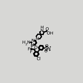 CN(C)S(=O)(=O)c1cccc(-c2cc(Cl)ccc2[C@@H](Oc2cc(N3CCC4(CC3)CNC(C(=O)O)C4)nc(N)n2)C(F)(F)F)c1